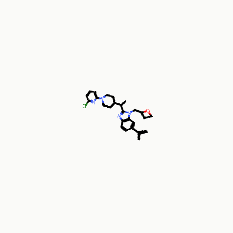 C=C(C)c1ccc2nc(C(C)C3CCN(c4cccc(Cl)n4)CC3)n(CC3CCO3)c2c1